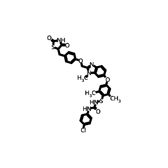 Cc1cc(Oc2ccc3nc(COc4ccc(CC5SC(=O)NC5=O)cc4)n(C)c3c2)cc(C)c1SNC(=O)Nc1ccc(Cl)cc1